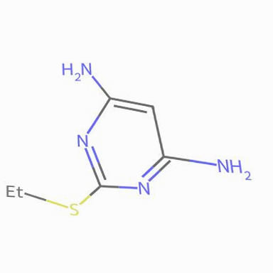 [CH2]CSc1nc(N)cc(N)n1